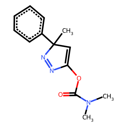 CN(C)C(=O)OC1=CC(C)(c2ccccc2)N=N1